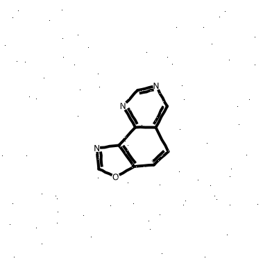 c1ncc2ccc3ocnc3c2n1